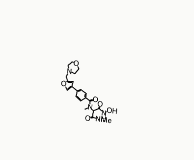 CNC(=O)C(C(=O)NO)N(C)C(=O)c1ccc(-c2coc(CN3CCOCC3)c2)cc1